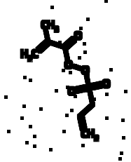 C=CCS(=O)(=O)OOC(=O)C(=C)C